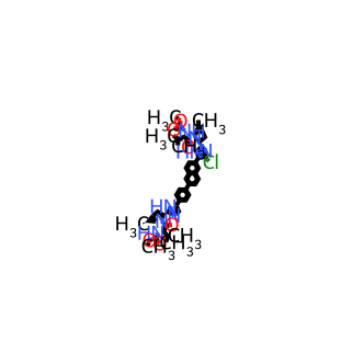 COC(=O)N[C@H](C(=O)N1C2C(C)C2C[C@H]1c1nc(Cl)c(-c2ccc3cc(-c4ccc(-c5cnc([C@@H]6CC7C([C@@H]7C)N6C(=O)[C@@H](NC(=O)OC)C(C)C)[nH]5)cc4)ccc3c2)[nH]1)C(C)C